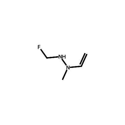 C=CN(C)NCF